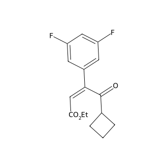 CCOC(=O)/C=C(\C(=O)C1CCC1)c1cc(F)cc(F)c1